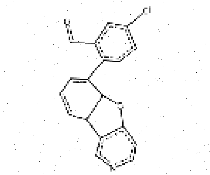 O=Cc1cc(Cl)ccc1C1=CC=CC2c3cnccc3OC12